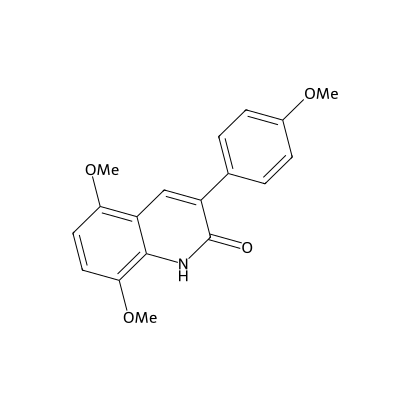 COc1ccc(-c2cc3c(OC)ccc(OC)c3[nH]c2=O)cc1